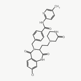 Cc1ccc(NC(=O)c2ccc(CN3C(=O)c4ccc(Cl)cc4NC(=O)C3CCN3CCNC(=O)C3)cc2)nc1